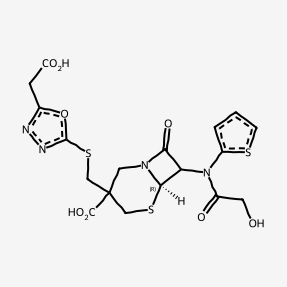 O=C(O)Cc1nnc(SCC2(C(=O)O)CS[C@@H]3C(N(C(=O)CO)c4cccs4)C(=O)N3C2)o1